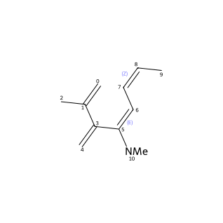 C=C(C)C(=C)/C(=C\C=C/C)NC